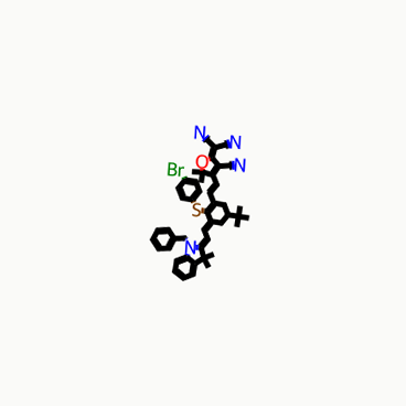 CC1(C)OC(=C(C#N)C#N)C(C#N)=C1/C=C/C1=C(Sc2ccc(Br)cc2)C(=C/C=C2\N(Cc3ccccc3)c3ccccc3C2(C)C)/CC(C(C)(C)C)C1